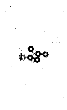 CC1(C)OB(c2cc(N(c3ccccc3)c3ccc(-c4ccccc4)cc3)c3c(c2)oc2ccccc23)OC1(C)C